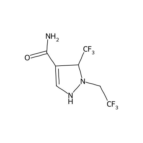 NC(=O)C1=CNN(CC(F)(F)F)C1C(F)(F)F